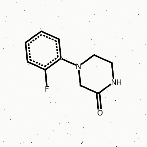 O=C1CN(c2ccccc2F)CCN1